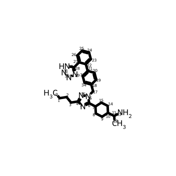 CCCCc1nc(C2CCC(C(C)N)CC2)n(Cc2ccc(-c3ccccc3-c3nnn[nH]3)cc2)n1